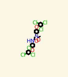 CC(=O)N(CC(=O)Nc1ccc(Oc2c(Cl)cc(Cl)cc2Cl)cc1)c1ccc(Oc2c(Cl)cc(Cl)cc2Cl)cc1